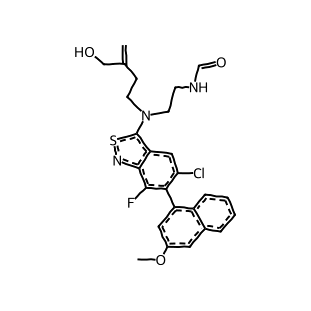 C=C(CO)CCN(CCNC=O)c1snc2c(F)c(-c3cc(OC)cc4ccccc34)c(Cl)cc12